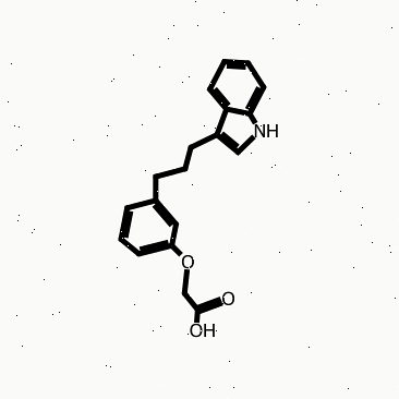 O=C(O)COc1cccc(CCCc2c[nH]c3ccccc23)c1